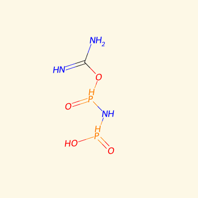 N=C(N)O[PH](=O)N[PH](=O)O